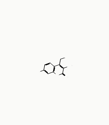 CC(=O)Oc1c(CBr)c2ccc(O)cc2oc1=O